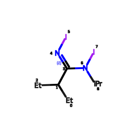 CCC(CC)/C(=N/I)N(I)C(C)C